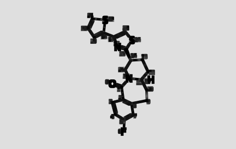 O=C1c2ccc(F)cc2CC[C@@H]2CC[C@H](c3nc(-c4cccs4)cs3)CN12